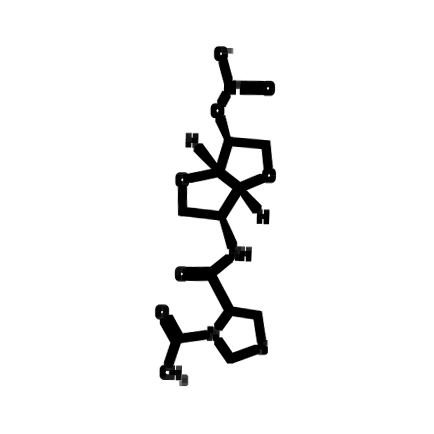 CC(=O)N1CSCC1C(=O)N[C@H]1CO[C@H]2[C@@H]1OC[C@@H]2O[N+](=O)[O-]